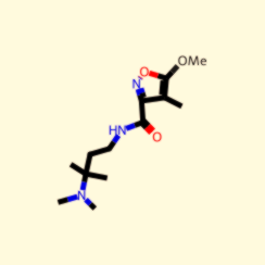 COc1onc(C(=O)NCCC(C)(C)N(C)C)c1C